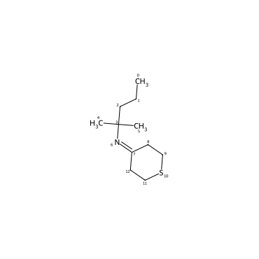 CCCC(C)(C)N=C1CCSCC1